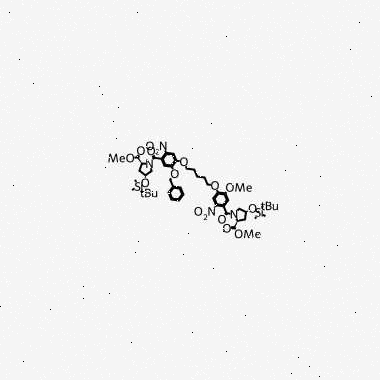 COC(=O)[C@@H]1C[C@@H](O[Si](C)(C)C(C)(C)C)CN1C(=O)c1cc(OC)c(OCCCCCOc2cc([N+](=O)[O-])c(C(=O)N3C[C@H](O[Si](C)(C)C(C)(C)C)C[C@H]3C(=O)OC)cc2OCc2ccccc2)cc1[N+](=O)[O-]